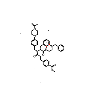 COC(=O)c1ccc(/C=C/C(=O)N(Cc2ccc(N3CCN(C(C)=O)CC3)cc2)[C@@H](Cc2ccccc2)C(=O)N2CCN(Cc3ccccc3)CC2)cc1